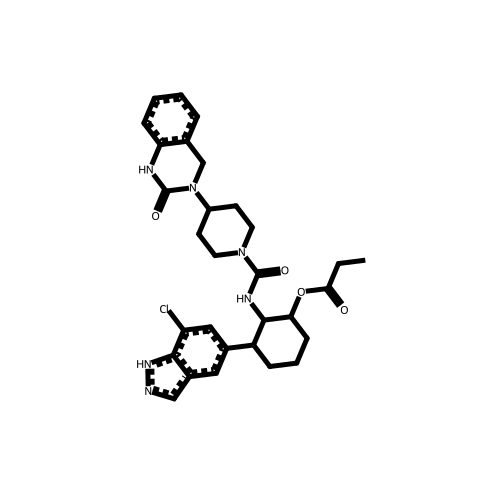 CCC(=O)OC1CCCC(c2cc(Cl)c3[nH]ncc3c2)C1NC(=O)N1CCC(N2Cc3ccccc3NC2=O)CC1